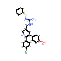 N/C(=N\Sc1ccccc1)NCc1cnc(-c2ccc(Cl)cc2)c(-c2ccc(O)cc2)c1